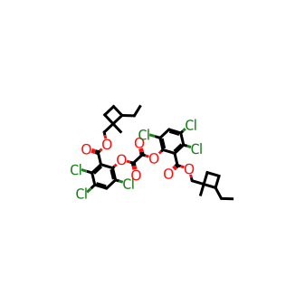 CCC1CCC1(C)COC(=O)c1c(Cl)c(Cl)cc(Cl)c1OC(=O)C(=O)Oc1c(Cl)cc(Cl)c(Cl)c1C(=O)OCC1(C)CCC1CC